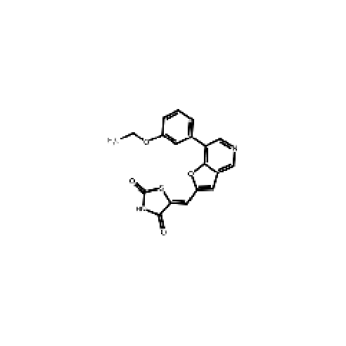 O=C1NC(=O)C(=Cc2cc3cncc(-c4cccc(OCC(F)(F)F)c4)c3o2)S1